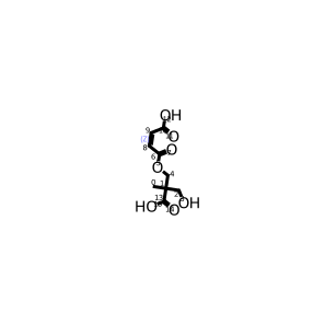 CC(CO)(COC(=O)/C=C\C(=O)O)C(=O)O